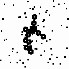 c1ccc(-c2ccc(-c3nc(-c4ccc(-c5ccccc5)cc4)nc(-n4c5ccccc5c5cc(-c6cccc7c(-c8cccc9c8sc8ccccc89)cccc67)ccc54)n3)cc2)cc1